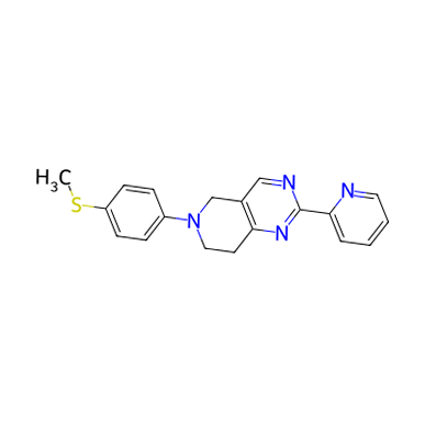 CSc1ccc(N2CCc3nc(-c4ccccn4)ncc3C2)cc1